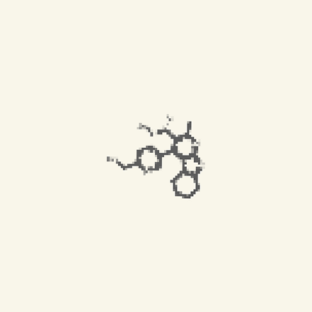 CC(=O)[C@@H](OC(C)(C)C)c1c(C)nc2sc3c(c2c1-c1ccc(CO)nc1)CCCC3